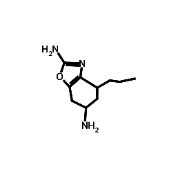 CCCC1CC(N)Cc2oc(N)nc21